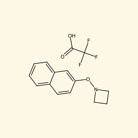 O=C(O)C(F)(F)F.c1ccc2cc(ON3CCC3)ccc2c1